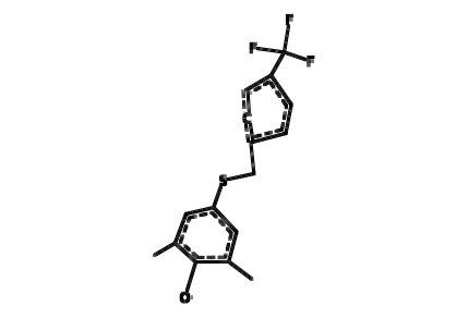 Cc1cc(SCc2ccc(C(F)(F)F)cc2)cc(C)c1[O]